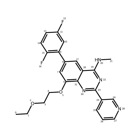 CCOCCOc1cc(-c2cc(F)ccc2F)cc2c(NC)nc(-c3cccnc3)nc12